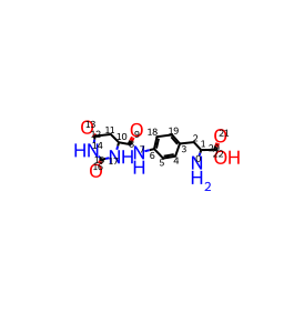 NC(Cc1ccc(NC(=O)C2CC(=O)NC(=O)N2)cc1)C(=O)O